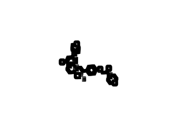 O=C(COc1ccc(CCN2c3nc(N4CC5CC4CO5)cc(=O)n3CC[C@H]2C(F)(F)F)cc1)N1CCOCC1